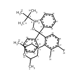 CC1CN(c2c(C(O[SiH2]C(C)(C)C)(c3ccccc3)c3ccccc3)ccc(F)c2F)CC(C)O1